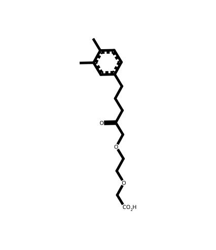 Cc1ccc(CCCC(=O)COCCOCC(=O)O)cc1C